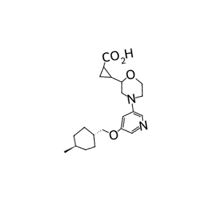 C[C@H]1CC[C@H](COc2cncc(N3CCOC(C4CC4C(=O)O)C3)c2)CC1